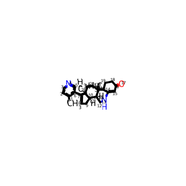 Cc1ccncc1C1=CC[C@H]2[C@@H]3CNC4=CC(=O)CC[C@]4(C)[C@H]3CC[C@]12C